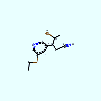 CCSc1cncc(C(CC#N)C(C)S)c1